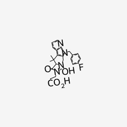 CC1(C)c2c(n(Cc3ccc(F)cc3)c3ncccc23)CN2C(O)N(CCC(=O)O)C(=O)C21